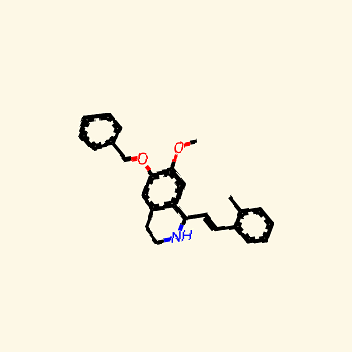 COc1cc2c(cc1OCc1ccccc1)CCNC2C=Cc1ccccc1C